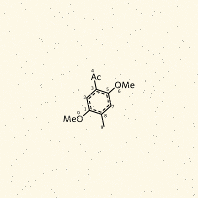 COc1cc(C(C)=O)c(OC)cc1C